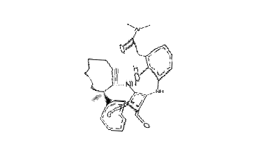 CN(C)C(=O)c1cccc(Nc2c(N[C@H]3CCCC[C@@H]3c3ccccc3)c(=O)c2=O)c1O